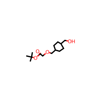 CC(C)(C)OC(=O)COCC1CCC(CO)CC1